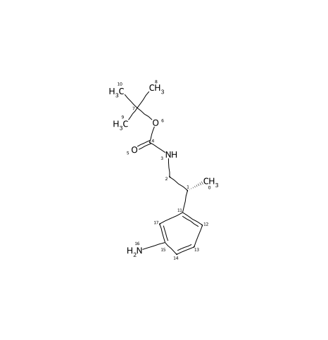 C[C@@H](CNC(=O)OC(C)(C)C)c1cccc(N)c1